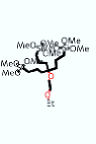 CCOCCOC(CCC[Si](OC)(OC)OC)(CCC[Si](OC)(OC)OC)CCC[Si](OC)(OC)OC